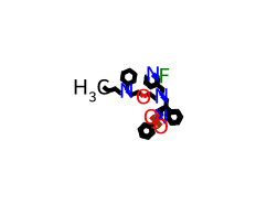 CCCCN(CCOCCN(Cc1cccnc1F)Cc1cn(S(=O)(=O)c2ccccc2)c2ccccc12)C1CCCCC1